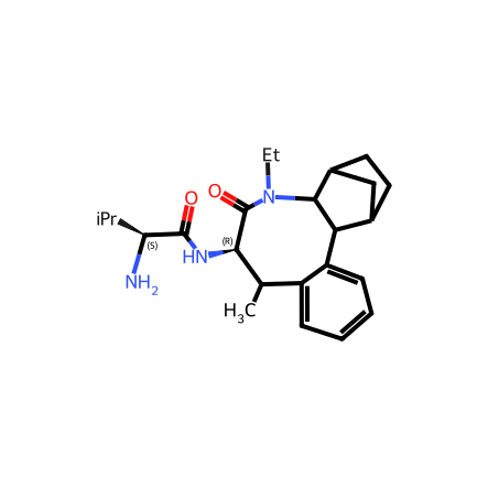 CCN1C(=O)[C@H](NC(=O)[C@@H](N)C(C)C)C(C)c2ccccc2C2C3CCC(C3)C21